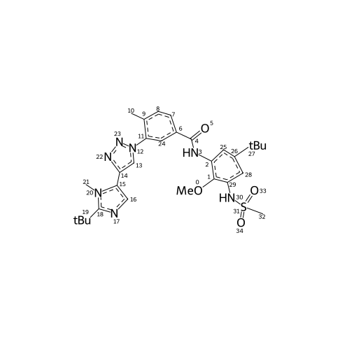 COc1c(NC(=O)c2ccc(C)c(-n3cc(-c4cnc(C(C)(C)C)n4C)nn3)c2)cc(C(C)(C)C)cc1NS(C)(=O)=O